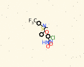 Cc1nc(-c2ccc(C(F)(F)F)cc2)sc1C(Oc1ccc(-c2noc(=O)[nH]2)c(Cl)c1)c1ccccc1